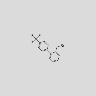 FC(F)(F)c1ccc(-c2ccccc2CBr)cc1